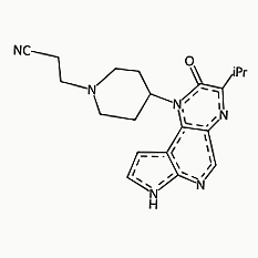 CC(C)c1nc2cnc3[nH]ccc3c2n(C2CCN(CCC#N)CC2)c1=O